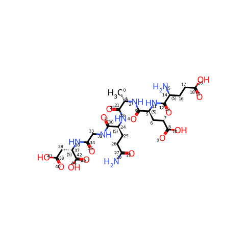 C[C@H](NC(=O)[C@H](CCC(=O)O)NC(=O)[C@@H](N)CCC(=O)O)C(=O)N[C@@H](CCC(N)=O)C(=O)NCC(=O)N[C@@H](CC(=O)O)C(=O)O